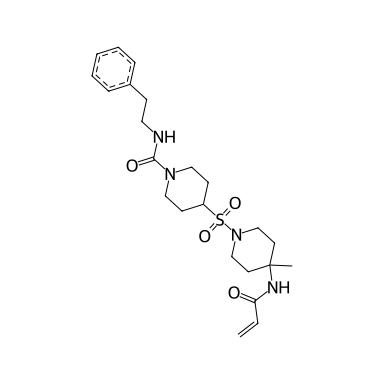 C=CC(=O)NC1(C)CCN(S(=O)(=O)C2CCN(C(=O)NCCc3ccccc3)CC2)CC1